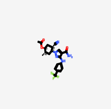 CC(=O)O[C@H]1C[C@H](C#N)[C@@H](n2cc(C(N)=O)c(Nc3ccc(C(F)(F)F)cc3)n2)C[C@@H]1C